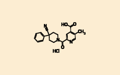 Cc1cnc(C(=O)N2CCC(C#N)(c3ccccc3)CC2)cc1C(=O)O.Cl